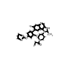 CC1Nc2cnc3cc(F)c(-c4ccc(Oc5ncccn5)cc4Cl)cc3c2N1C1CCN(C(=O)CF)CC1